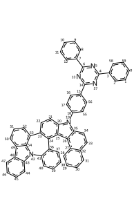 c1ccc(-c2nc(-c3ccccc3)nc(-c3ccc(-n4c5ccc6c(c5c5c7ccccc7ccc54)-c4ccccc4-n4c5ccccc5c5cccc-6c54)cc3)n2)cc1